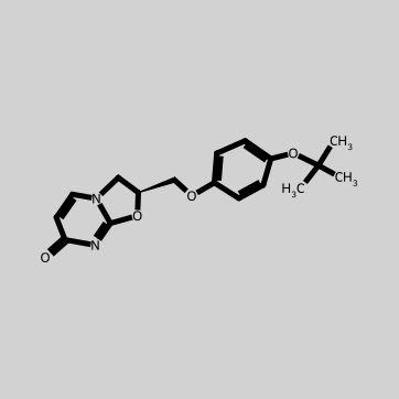 CC(C)(C)Oc1ccc(OC[C@@H]2Cn3ccc(=O)nc3O2)cc1